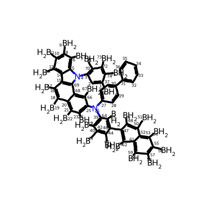 Bc1cc(-n2c3c(B)c(B)c(B)c(B)c3c3c(B)c(B)c4c(B)c(B)c(N(c5ccc(-c6ccccc6)cc5)c5c(B)c(B)c(B)c(-c6c(B)c(B)c7c(B)c(B)c(B)c(B)c7c6B)c5B)c(B)c4c32)c(B)c(B)c1B